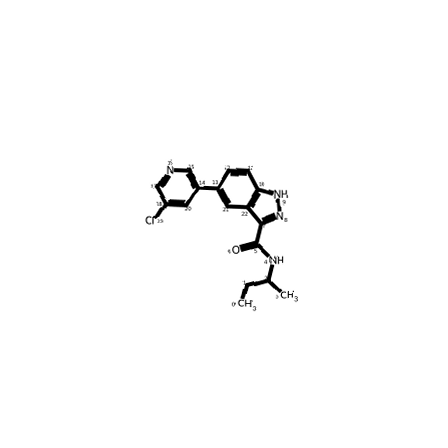 CCC(C)NC(=O)c1n[nH]c2ccc(-c3cncc(Cl)c3)cc12